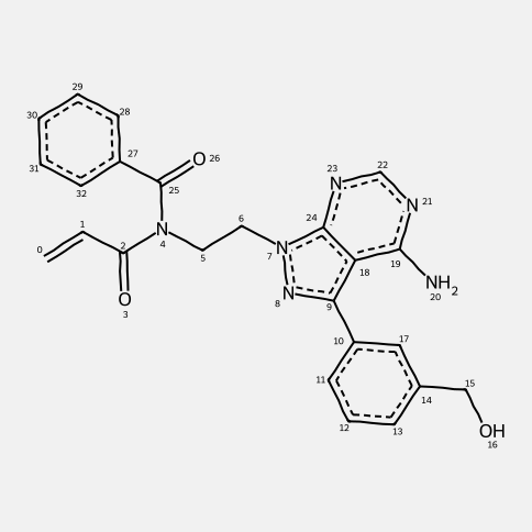 C=CC(=O)N(CCn1nc(-c2cccc(CO)c2)c2c(N)ncnc21)C(=O)c1ccccc1